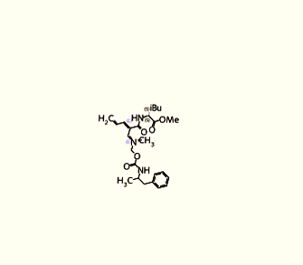 C=C/C=C(\C=[N+](/C)COC(=O)NC(C)Cc1ccccc1)C(=O)N[C@H](C(=O)OC)[C@@H](C)CC